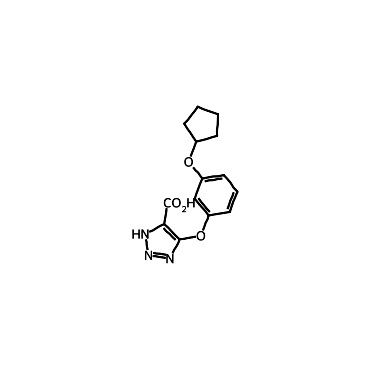 O=C(O)c1[nH]nnc1Oc1cccc(OC2CCCC2)c1